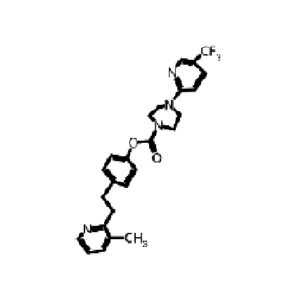 Cc1cccnc1CCc1ccc(OC(=O)N2CCN(c3ccc(C(F)(F)F)cn3)CC2)cc1